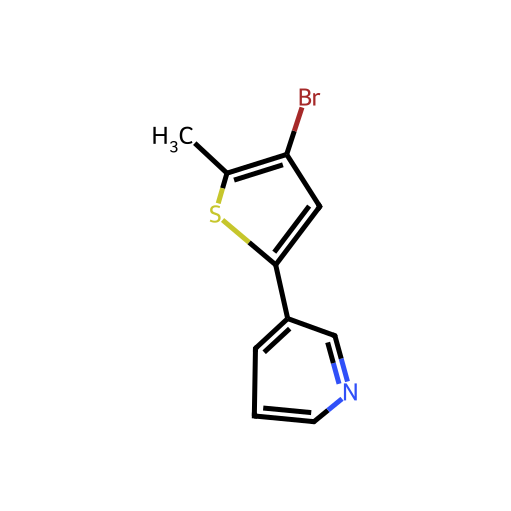 Cc1sc(-c2cccnc2)cc1Br